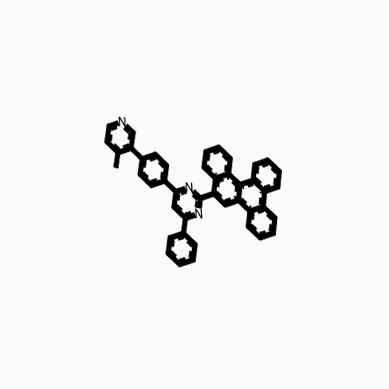 Cc1ccncc1-c1ccc(-c2cc(-c3ccccc3)nc(-c3cc4c5ccccc5c5ccccc5c4c4ccccc34)n2)cc1